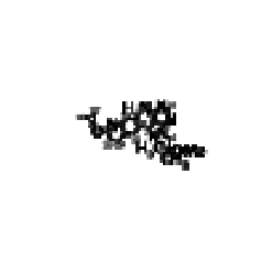 COC(C)(C)Cn1nc(-c2ccc3nc(OC4CC4)ccc3c2)c2c(N)ncnc21